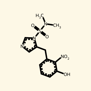 CN(C)S(=O)(=O)n1cncc1Cc1cccc(O)c1[N+](=O)[O-]